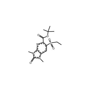 CCS(=O)(=O)c1cc2c(nc1C(=O)OC(C)(C)C)n(C)c(=O)n2C